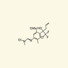 C=CCC(O)(c1cc(C)c(/N=C/N(C)CC)cc1OC)C(F)(F)Cl